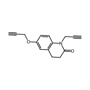 C#CCOc1ccc2c(c1)CCC(=O)N2CC#C